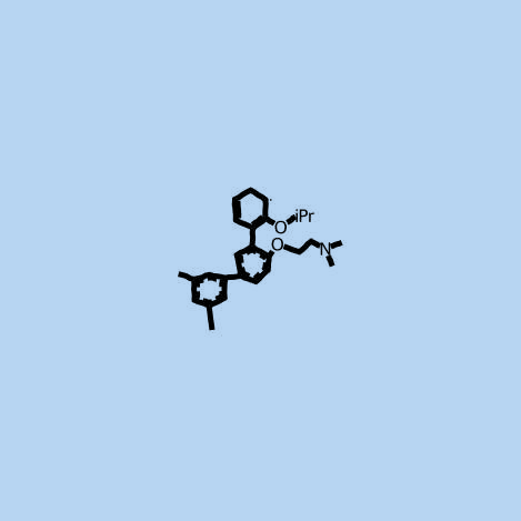 Cc1cc(C)cc(-c2ccc(OCCN(C)C)c(C3=C(OC(C)C)[CH]CC=C3)c2)c1